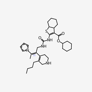 CCCCC1=C(/C(CNC(=O)NC2=C(C(=O)OC3CCCCC3)C3CCCCC3S2)=C(\C)n2cccc2)CCNC1